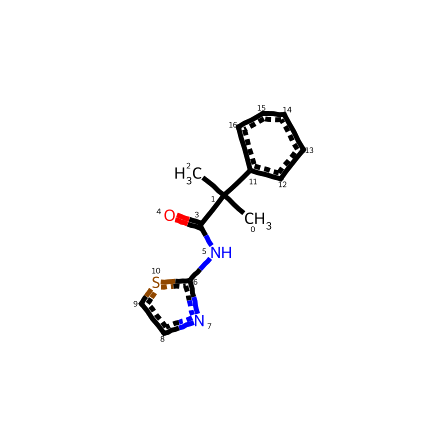 CC(C)(C(=O)Nc1nccs1)c1ccccc1